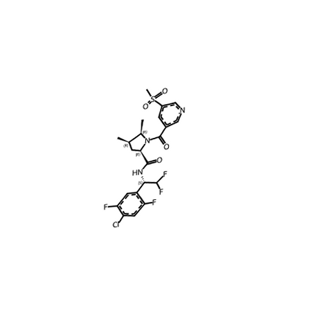 C[C@@H]1C[C@H](C(=O)N[C@@H](c2cc(F)c(Cl)cc2F)C(F)F)N(C(=O)c2cncc(S(C)(=O)=O)c2)[C@@H]1C